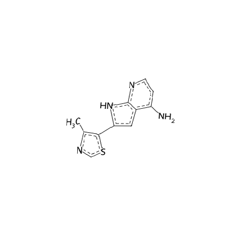 Cc1ncsc1-c1cc2c(N)ccnc2[nH]1